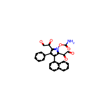 NC(=O)On1c(C(=O)C=O)c(-c2ccccc2)c(-c2cccc3ccccc23)c1C(=O)C=O